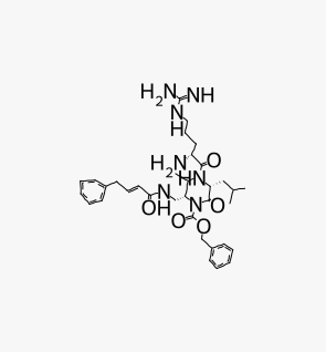 CC(C)C[C@@H](NC(=O)[C@H](N)CCCNC(=N)N)C(=O)N(C(=O)OCc1ccccc1)[C@H](CNC(=O)/C=C/Cc1ccccc1)C(C)C